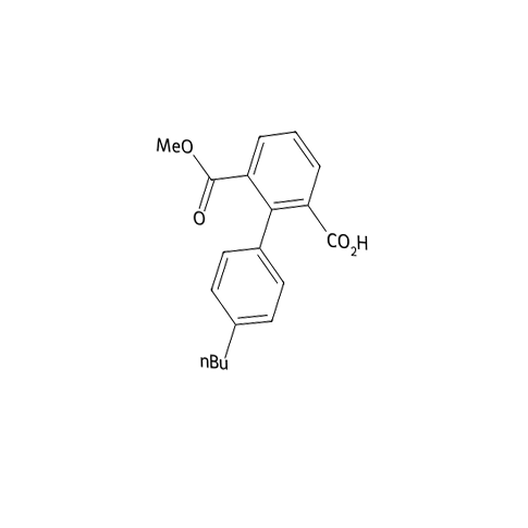 CCCCc1ccc(-c2c(C(=O)O)cccc2C(=O)OC)cc1